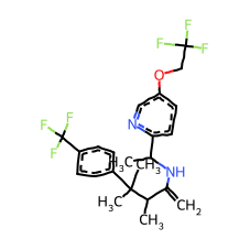 C=C(NC(C)c1ccc(OCC(F)(F)F)cn1)C(C)C(C)(C)c1ccc(C(F)(F)F)cc1